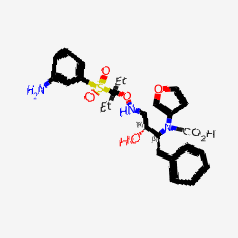 CCC(CC)(ONC[C@@H](O)[C@H](Cc1ccccc1)N(C(=O)O)c1ccoc1)S(=O)(=O)c1cccc(N)c1